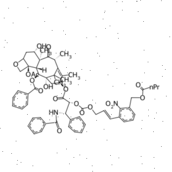 CCCC(=O)OCc1cccc(/C=C/COC(=O)O[C@@H](C(=O)O[C@H]2C[C@@]3(O)[C@@H](OC(=O)c4ccccc4)[C@H]4[C@](C)(C(=O)[C@H](C)C(=C2C)C3(C)C)[C@@H](O)CC2OC[C@]24OC(C)=O)[C@@H](NC(=O)c2ccccc2)c2ccccc2)c1[N+](=O)[O-]